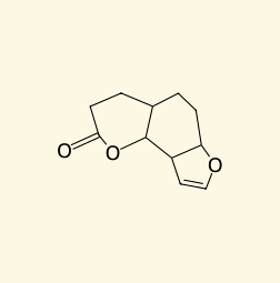 O=C1CCC2CCC3OC=CC3C2O1